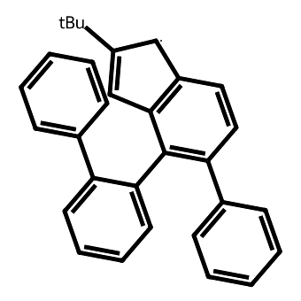 CC(C)(C)C1=Cc2c(ccc(-c3ccccc3)c2-c2ccccc2-c2ccccc2)[CH]1